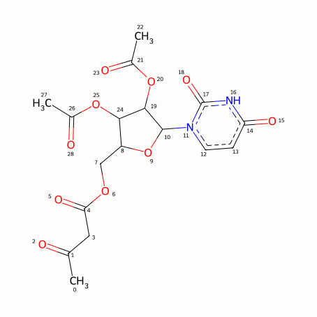 CC(=O)CC(=O)OCC1OC(n2ccc(=O)[nH]c2=O)C(OC(C)=O)C1OC(C)=O